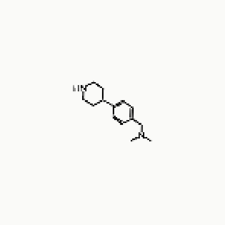 CN(C)Cc1ccc(C2CCNCC2)cc1